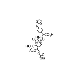 CC(=O)OC(COC(=O)C(C)(C)C)C1=C(C(=O)O)N2C(=O)[C@@H](NC(=O)C(C(=O)O)C3=CCC(=NC4SCCS4)C=C3)[C@H]2SC1